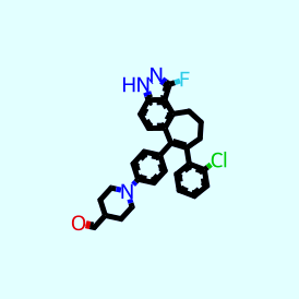 O=CC1CCN(c2ccc(C3=C(c4ccccc4Cl)CCCc4c3ccc3[nH]nc(F)c43)cc2)CC1